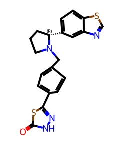 O=c1[nH]nc(-c2ccc(CN3CCC[C@@H]3c3ccc4scnc4c3)cc2)s1